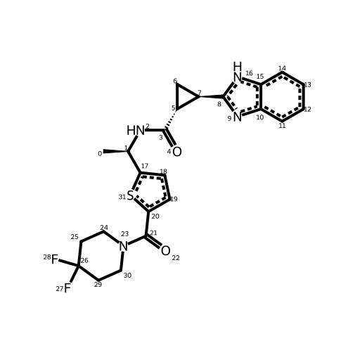 C[C@@H](NC(=O)[C@@H]1C[C@H]1c1nc2ccccc2[nH]1)c1ccc(C(=O)N2CCC(F)(F)CC2)s1